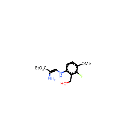 CCOC(=O)/C(N)=C/Nc1ccc(OC)c(F)c1CO